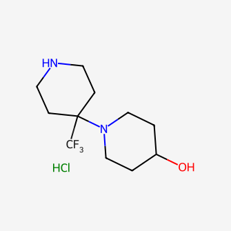 Cl.OC1CCN(C2(C(F)(F)F)CCNCC2)CC1